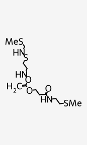 C=C(OCCC(=O)NCCSC)ONCCSNCSC